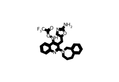 NC1=NCC(Cc2c(N3CCCc4ccccc4C3)nc3ccccc3c2NOC(=O)C(F)(F)F)O1